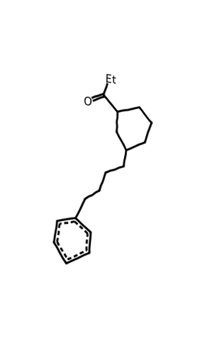 CCC(=O)C1CCCC(CCCCc2ccccc2)C1